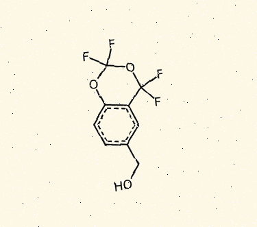 OCc1ccc2c(c1)C(F)(F)OC(F)(F)O2